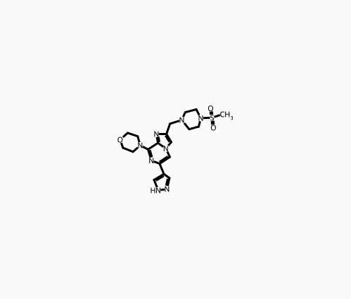 CS(=O)(=O)N1CCN(Cc2cn3cc(-c4cn[nH]c4)nc(N4CCOCC4)c3n2)CC1